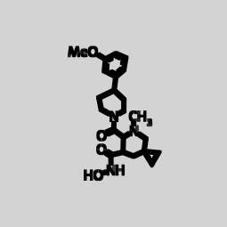 COc1cccc(C2CCN(C(=O)C3C(C(=O)NO)CC4(CC4)CN3C)CC2)c1